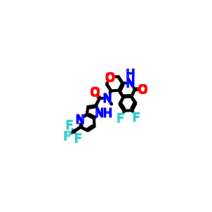 CN(C(=O)c1cc2nc(C(F)(F)F)ccc2[nH]1)C1COCc2[nH]c(=O)c3cc(F)c(F)cc3c21